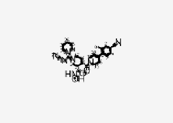 Cc1cc(C#N)ccc1C1=CCN(C(=O)[C@H]2CCN(/C(=N/C#N)N3CCCCC3)C[C@@H]2C(=O)NO)CC1